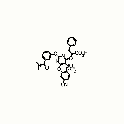 CN(C)C(=O)c1cccc(Oc2nc(Oc3cc(C#N)ccc3[N+](=O)[O-])c([N+](=O)[O-])c(OC(Cc3ccccc3)C(=O)O)n2)c1